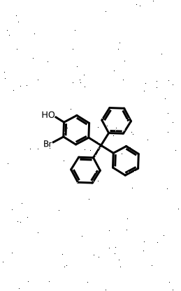 Oc1ccc(C(c2ccccc2)(c2ccccc2)c2ccccc2)cc1Br